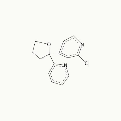 Clc1cc(C2(c3ccccn3)CCCO2)ccn1